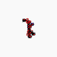 COCC(COC(=O)CCC1CCCCC1)OC(=O)CCCCCN(CCCCCC(=O)OC(COC(=O)CCC1CCCCC1)COC(=O)CCC1CCCCC1)C(=O)SCCCN(C)C